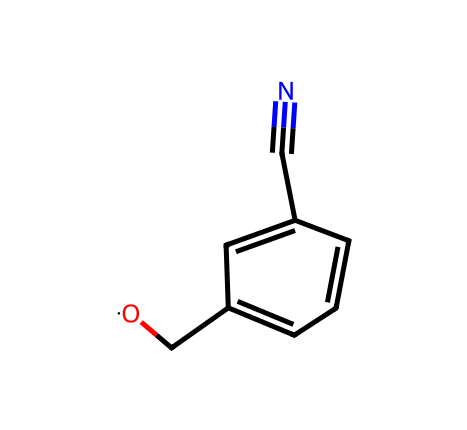 N#Cc1cccc(C[O])c1